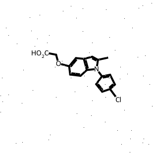 Cc1cc2cc(OCC(=O)O)ccc2n1-c1ccc(Cl)cc1